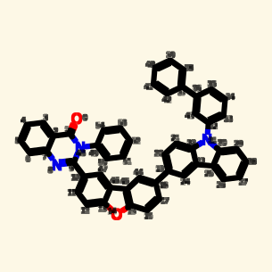 O=c1c2ccccc2nc(-c2ccc3oc4ccc(-c5ccc6c(c5)c5ccccc5n6-c5cccc(-c6ccccc6)c5)cc4c3c2)n1-c1ccccc1